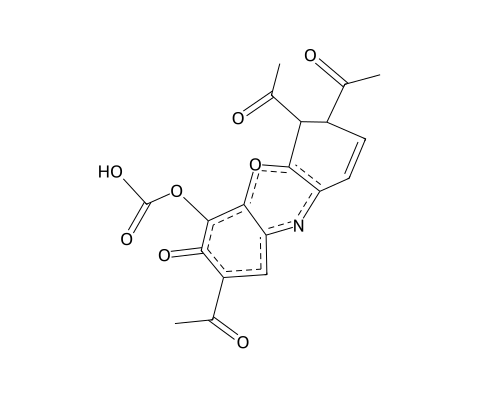 CC(=O)c1cc2nc3c(oc-2c(OC(=O)O)c1=O)C(C(C)=O)C(C(C)=O)C=C3